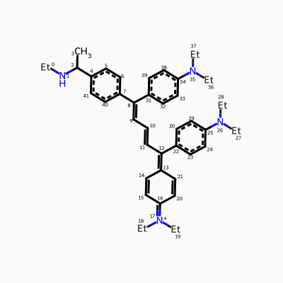 CCNC(C)c1ccc(C(=CC=CC(=C2C=CC(=[N+](CC)CC)C=C2)c2ccc(N(CC)CC)cc2)c2ccc(N(CC)CC)cc2)cc1